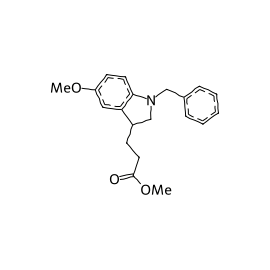 COC(=O)CCC1CN(Cc2ccccc2)c2ccc(OC)cc21